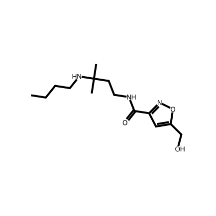 CCCCNC(C)(C)CCNC(=O)c1cc(CO)on1